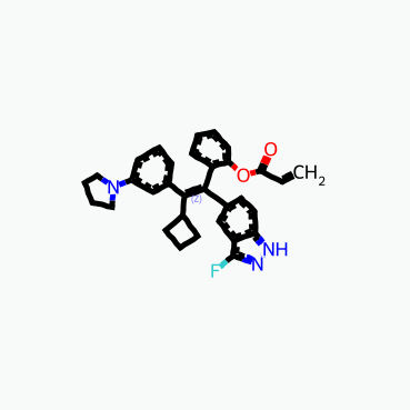 C=CC(=O)Oc1ccccc1/C(=C(\c1cccc(N2CCCC2)c1)C1CCC1)c1ccc2[nH]nc(F)c2c1